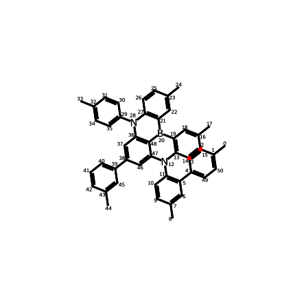 Cc1ccc(-c2cc(C)ccc2N2c3ccc(C)cc3B3c4cc(C)ccc4N(c4ccc(C)cc4)c4cc(-c5cccc(C)c5)cc2c43)cc1